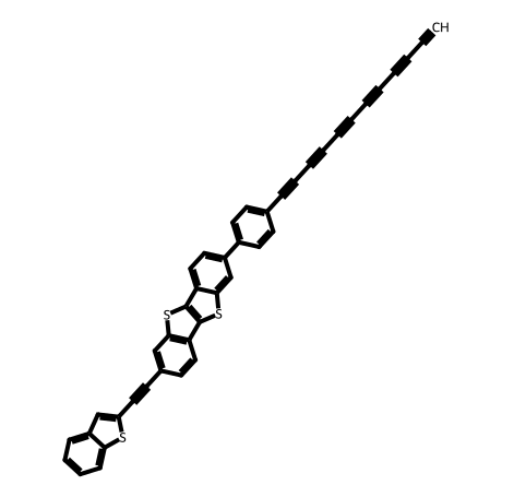 C#CC#CC#CC#CC#CC#Cc1ccc(-c2ccc3c(c2)sc2c4ccc(C#Cc5cc6ccccc6s5)cc4sc32)cc1